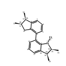 CCN1c2c(-c3cccc4c3C[C@@H](C)[C@H]4C)cccc2[C@H](C)[C@@H]1C